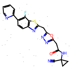 N#CC1(NC(=O)Cc2nnc(Cc3nc4ccc(-c5ccccn5)c(F)c4s3)o2)CC1